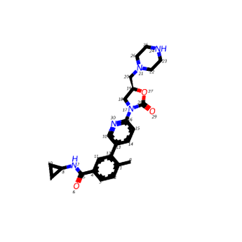 Cc1ccc(C(=O)NC2CC2)cc1-c1ccc(N2C[C@@H](CN3CCNCC3)OC2=O)nc1